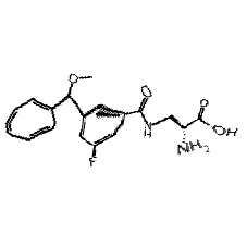 COC(c1ccccc1)c1cc(F)cc(C(=O)NC[C@@H](N)C(=O)O)c1